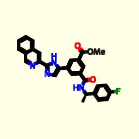 COC(=O)c1cc(C(=O)N[C@H](C)c2ccc(F)cc2)cc(-c2cnc(-c3cc4ccccc4cn3)[nH]2)c1